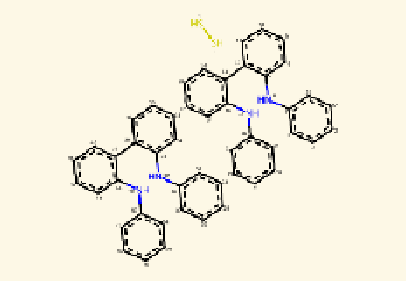 SS.c1ccc(Nc2ccccc2-c2ccccc2Nc2ccccc2)cc1.c1ccc(Nc2ccccc2-c2ccccc2Nc2ccccc2)cc1